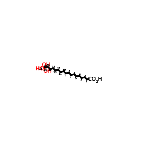 O=C(O)CCCCCCCCCCCCCCCCC(O)(O)O